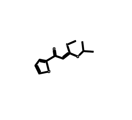 CS/C(=C\C(=O)c1ccco1)OC(C)C